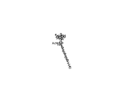 CC(=O)N[C@@H](CSc1nc2c(=O)[nH]c(=O)[nH]c2n1Cc1ccc(F)cc1)C(=O)NCCOCCOCCOCCOCCOCCCCCCCl